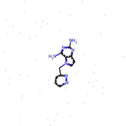 Nc1nc(N)c2c(ccn2Cc2cccnn2)n1